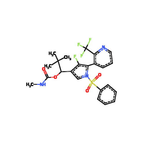 CNC(=O)OC(c1cn(S(=O)(=O)c2ccccc2)c(-c2cccnc2C(F)(F)F)c1F)C(C)(C)C